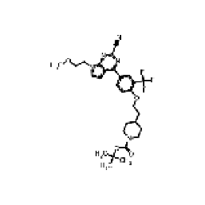 COCCn1ccc2c(-c3ccc(OCCC4CCN(C(=O)OC(C)(C)C)CC4)c(C(F)(F)F)c3)nc(C#N)nc21